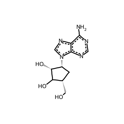 Nc1ncnc2c1ncn2[C@@H]1C[C@H](CO)C(O)[C@@H]1O